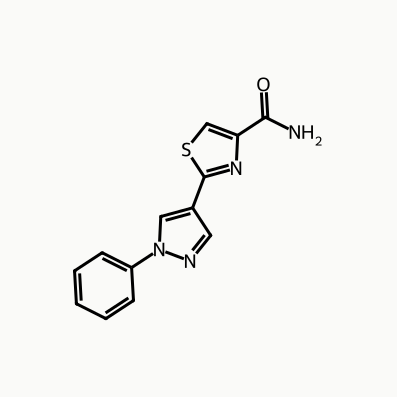 NC(=O)c1csc(-c2cnn(-c3ccccc3)c2)n1